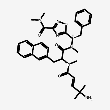 CN(C)C(=O)c1noc([C@@H](Cc2ccccc2)N(C)C(=O)C(Cc2ccc3ccccc3c2)N(C)C(=O)C=CC(C)(C)N)n1